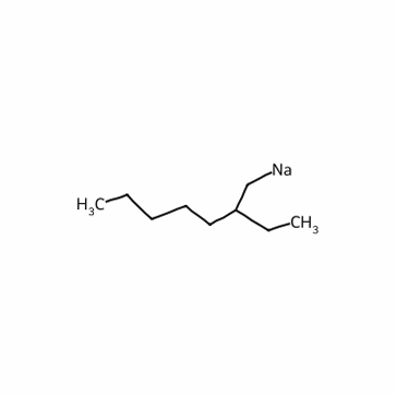 CCCCCC(CC)[CH2][Na]